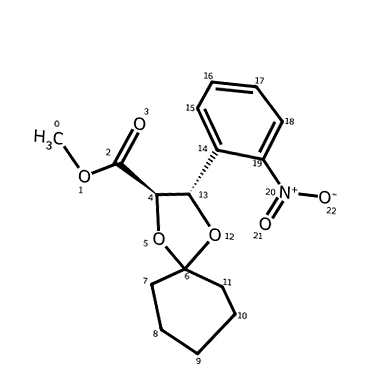 COC(=O)[C@@H]1OC2(CCCCC2)O[C@H]1c1ccccc1[N+](=O)[O-]